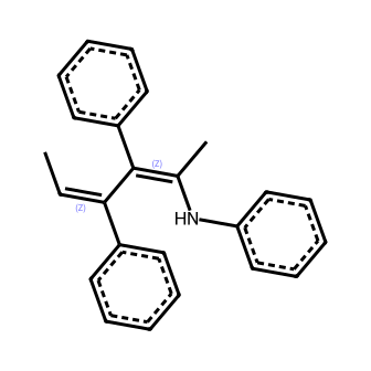 C/C=C(\C(=C(\C)Nc1ccccc1)c1ccccc1)c1ccccc1